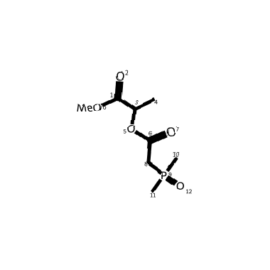 COC(=O)C(C)OC(=O)CP(C)(C)=O